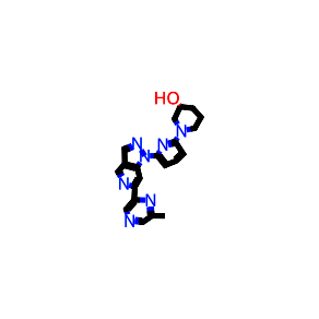 Cc1cncc(-c2cc3c(cn2)cnn3-c2cccc(N3CCCC(O)C3)n2)n1